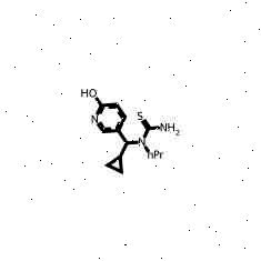 CCCN(C(N)=S)C(c1ccc(O)nc1)C1CC1